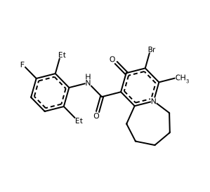 CCc1ccc(F)c(CC)c1NC(=O)c1c2n(c(C)c(Br)c1=O)CCCCC2